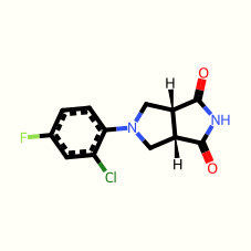 O=C1NC(=O)[C@@H]2CN(c3ccc(F)cc3Cl)C[C@H]12